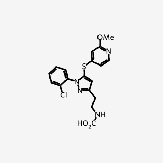 COc1cc(Sc2cc(CCNC(=O)O)nn2-c2ccccc2Cl)ccn1